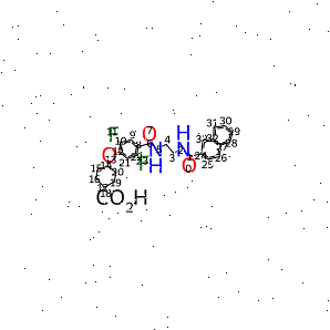 O=C(NCCNC(=O)c1cc(F)c(OC2CCC(C(=O)O)CC2)cc1F)c1ccc2ccccc2c1